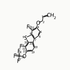 C=CCOc1ccc2c(sc3c(F)c(OC(F)(F)F)ccc32)c1F